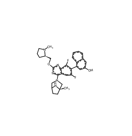 CN1CCC[C@@H]1COc1nc(N2CC3CC[C@@](C)(C2)N3)c2cc(F)c(-c3cc(O)cc4ccccc34)c(F)c2n1